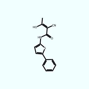 CC(O)=C(C#N)C(=O)Nc1ccc(-c2ccccc2)s1